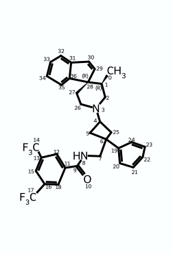 C[C@H]1CN(C2CC(CNC(=O)c3cc(C(F)(F)F)cc(C(F)(F)F)c3)(c3ccccc3)C2)CC[C@@]12C=Cc1ccccc12